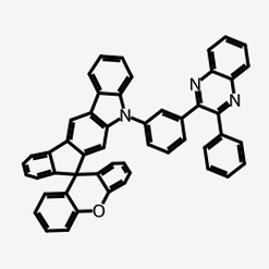 c1ccc(-c2nc3ccccc3nc2-c2cccc(-n3c4ccccc4c4cc5c(cc43)C3(c4ccccc4Oc4ccccc43)c3ccccc3-5)c2)cc1